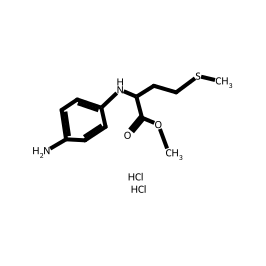 COC(=O)C(CCSC)Nc1ccc(N)cc1.Cl.Cl